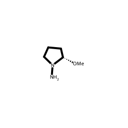 CO[C@H]1CCCN1N